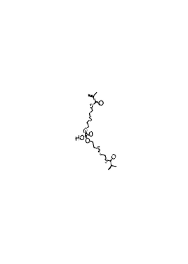 C=C(C)C(=O)SCCSCCOP(=O)(O)OCCSCCSC(=O)C(=C)C